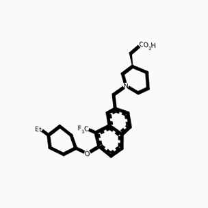 CCC1CCC(Oc2ccc3ccc(CN4CCC[C@H](CC(=O)O)C4)cc3c2C(F)(F)F)CC1